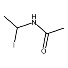 CC(=O)NC(C)I